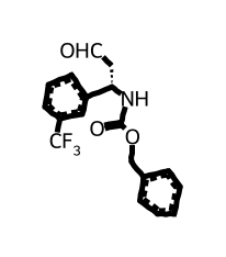 O=CC[C@H](NC(=O)OCc1ccccc1)c1cccc(C(F)(F)F)c1